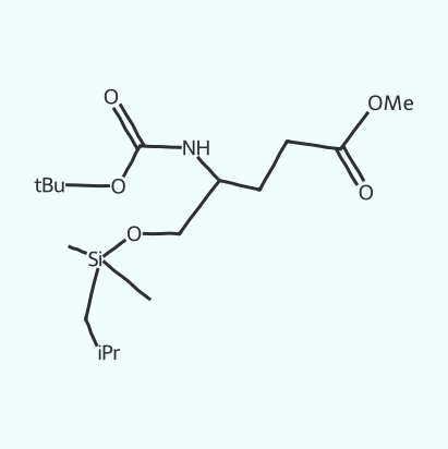 COC(=O)CCC(CO[Si](C)(C)CC(C)C)NC(=O)OC(C)(C)C